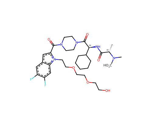 C[C@@H](C(=O)N[C@H](C(=O)N1CCN(C(=O)c2cc3cc(F)c(F)cc3n2CCOCCOCCO)CC1)C1CCCCC1)N(C)C(=O)O